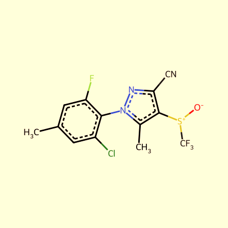 Cc1cc(F)c(-n2nc(C#N)c([S+]([O-])C(F)(F)F)c2C)c(Cl)c1